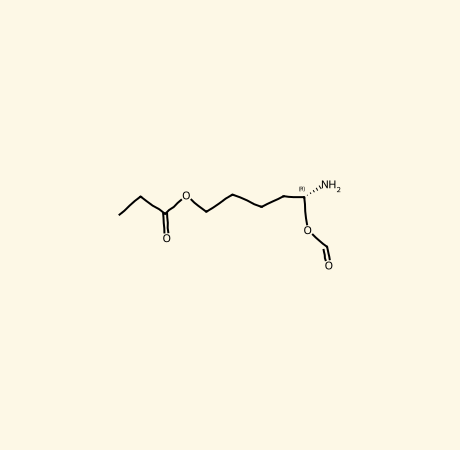 CCC(=O)OCCCC[C@H](N)OC=O